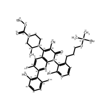 CC(C)c1nccc(CCCO[Si](C)(C)C(C)(C)C)c1-n1c(=O)c(C#N)c(N2CCN(C(=O)OC(C)(C)C)C[C@@H]2C)c2cc(F)c(-c3c(O)cccc3F)nc21